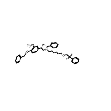 O=[N+]([O-])c1cc([C@H](O)CN(CCCCCCOCC(F)(F)c2ccccc2)Cc2ccccc2)ccc1OCc1ccccc1